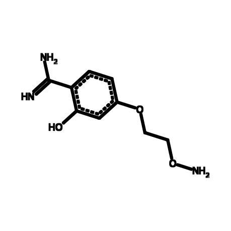 N=C(N)c1ccc(OCCON)cc1O